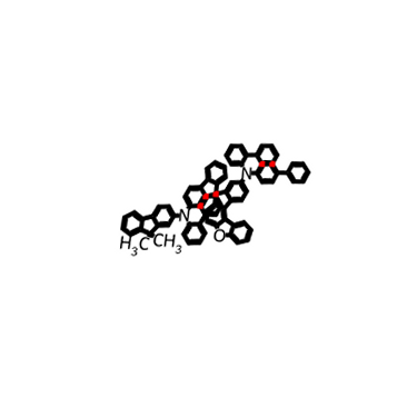 CC1(C)c2ccccc2-c2ccc(N(c3ccc4c(c3)C3(c5ccccc5-4)c4cc(N(c5ccc(-c6ccccc6)cc5)c5ccccc5-c5ccccc5)ccc4-c4c3ccc3oc5ccccc5c43)c3ccccc3-c3ccccc3)cc21